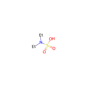 CCN(CC)S(=O)(=O)O